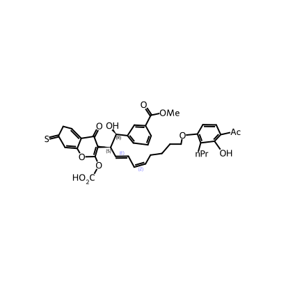 CCCc1c(OCCCC/C=C\C=C\[C@@H](c2c(OC(=O)O)oc3c(c2=O)=CCC(=S)C=3)[C@@H](O)c2cccc(C(=O)OC)c2)ccc(C(C)=O)c1O